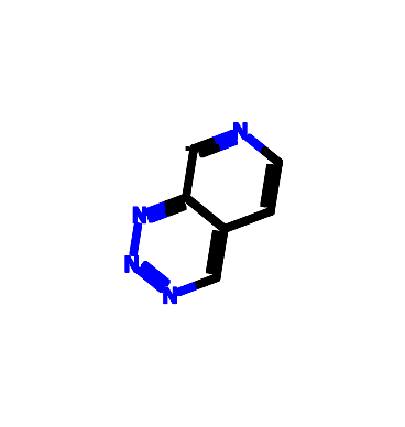 [c]1nccc2cnnnc12